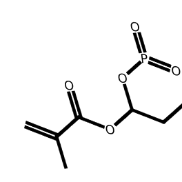 C=C(C)C(=O)OC(CC)OP(=O)=O